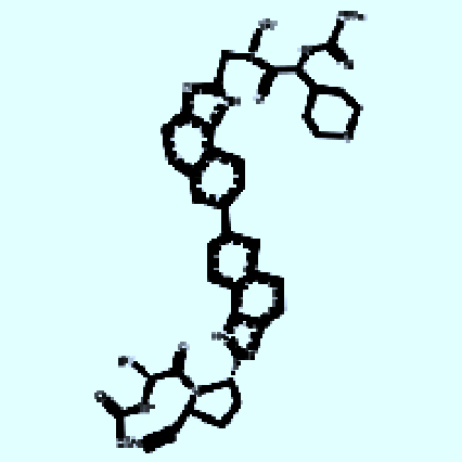 C#CC1CC[C@@H](c2nc3ccc4cc(-c5ccc6c(ccc7nc(CN(CCC)C(=O)[C@@H](NC(=O)OC)C8CCOCC8)[nH]c76)c5)ccc4c3[nH]2)N1C(=O)[C@@H](NC(=O)OC)C(C)C